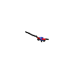 CCCCCCCCCCCCCCCCCCCN1C=CN(CCCCCCC)C1(Cc1ccccc1)C(CC)c1ccccc1